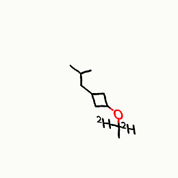 [2H]C([2H])(C)OC1CC(CC(C)C)C1